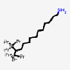 CC(C)[Si](C(C)C)(C(C)C)C(CCCCCCCCCCCN)[Si](C(C)C)(C(C)C)C(C)C